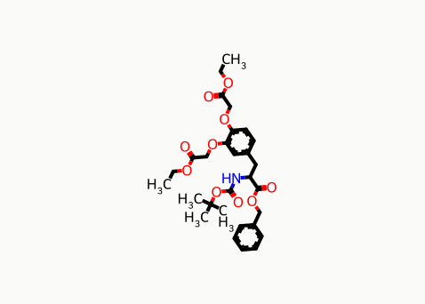 CCOC(=O)COc1ccc(CC(NC(=O)OC(C)(C)C)C(=O)OCc2ccccc2)cc1OCC(=O)OCC